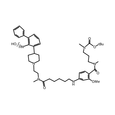 COc1cc(NCCCCCC(=O)N(C)CCN2CCC(c3cccc(-c4ccccc4)c3NC(=O)O)CC2)ccc1C(=O)N(C)CCCN(C)C(=O)OC(C)(C)C